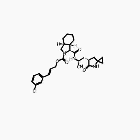 N#C[C@H](C[C@@H]1CC2(CC2)NC1=O)NC(=O)[C@@H]1[C@H]2CCCC[C@H]2CN1C(=O)OC/C=C/c1cccc(Cl)c1